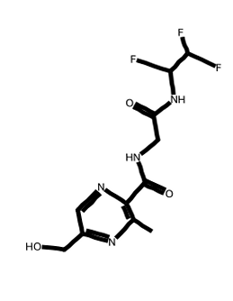 Cc1nc(CO)cnc1C(=O)NCC(=O)NC(F)C(F)F